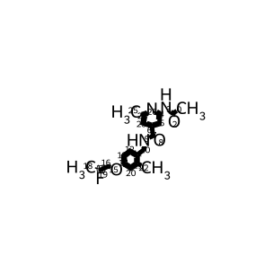 CC(=O)Nc1cc(C(=O)NCc2ccc(OC[C@@H](C)F)cc2C)cc(C)n1